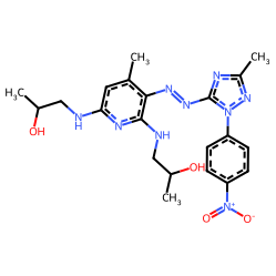 Cc1nc(N=Nc2c(C)cc(NCC(C)O)nc2NCC(C)O)n(-c2ccc([N+](=O)[O-])cc2)n1